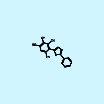 N#Cc1cc(O)c(O)c(C#N)c1-c1ccc(-c2ccccc2)s1